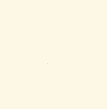 C=CC(=O)N1CCn2cc(CN3C[C@H]4CC(=O)N(c5cc(C(F)(F)F)cc(C)n5)[C@@H]4C(=O)N(C)c4cccc(Cl)c43)nc2C1